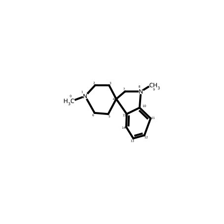 CN1CCC2(CC1)CN(C)c1ccccc12